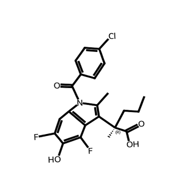 CCC[C@@](C)(C(=O)O)c1c(C)n(C(=O)c2ccc(Cl)cc2)c2cc(F)c(O)c(F)c12